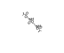 C=C(C)C(=O)OCCNC(=O)OCCCNOC(=O)C(=C)C